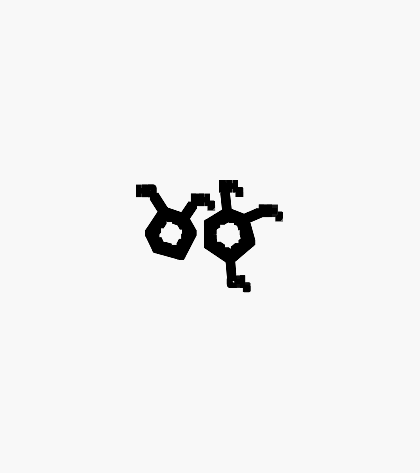 Cc1ccc(N)c(N)c1.Nc1ccccc1O